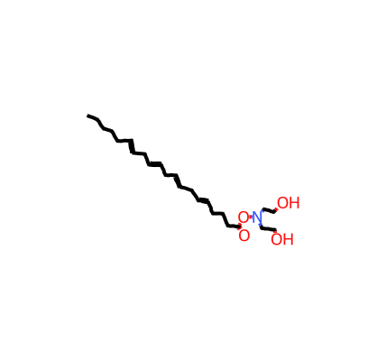 CCCCCC=CCC=CCC=CCC=CCCCC(=O)ON(CCO)CCO